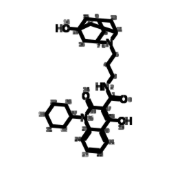 O=C(NCCCN1C2CC3CC1CC(O)(C3)C2)c1c(O)c2ccccc2n(C2CCCCC2)c1=O